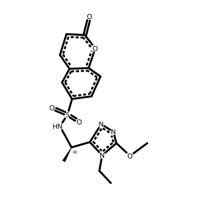 CCn1c(OC)nnc1[C@@H](C)NS(=O)(=O)c1ccc2oc(=O)ccc2c1